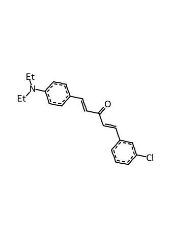 CCN(CC)c1ccc(/C=C/C(=O)/C=C/c2cccc(Cl)c2)cc1